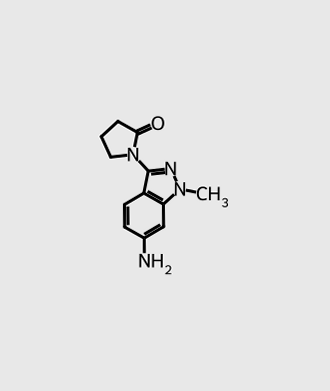 Cn1nc(N2CCCC2=O)c2ccc(N)cc21